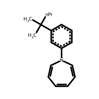 CCCC(C)(C)c1cccc(N2C=CC=CC=C2)c1